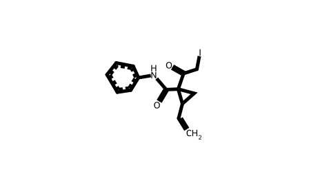 C=CC1CC1(C(=O)CI)C(=O)Nc1ccccc1